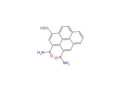 CCCCCCCCc1cc(C(N)=O)c2c(C(N)=O)cc3cccc4ccc1c2c43